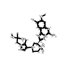 COc1cc2nc(N)n3nc([C@@H]4CN(c5cnn(CC(C)(O)OC)c5C)CCS4(=O)=O)nc3c2cc1F